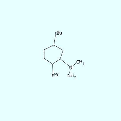 CCCC1CCC(C(C)(C)C)CC1N(C)N